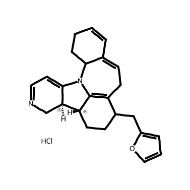 C1=CC2=CCC3=C4[C@H](CCC3Cc3ccco3)[C@H]3CN=CC=C3N4C2CC1.Cl